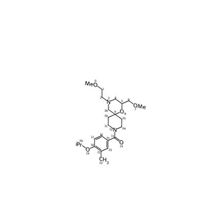 COCCN1CC(COC)OC2(CCN(C(=O)c3ccc(OC(C)C)c(C)c3)CC2)C1